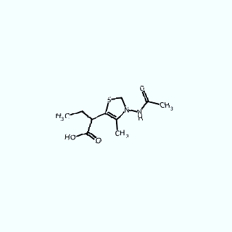 CCC(C(=O)O)C1=C(C)N(NC(C)=O)CS1